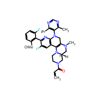 C=CC(=O)N1CCN2C3=C(CN(c4c(C)ncnc4C(C)C)c4nc(-c5c(F)cccc5OC)c(F)cc43)N(C)C[C@@H]2C1